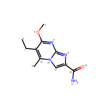 CCc1c(OC)nc2nc(C(N)=O)cn2c1C